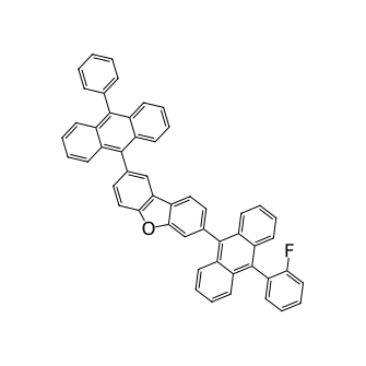 Fc1ccccc1-c1c2ccccc2c(-c2ccc3c(c2)oc2ccc(-c4c5ccccc5c(-c5ccccc5)c5ccccc45)cc23)c2ccccc12